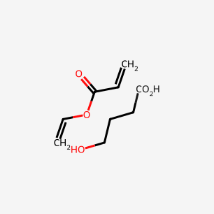 C=COC(=O)C=C.O=C(O)CCCO